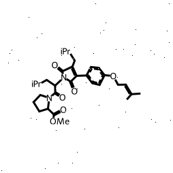 COC(=O)C1CCCN1C(=O)C(CC(C)C)N1C(=O)C(CC(C)C)=C(c2ccc(OCC=C(C)C)cc2)C1=O